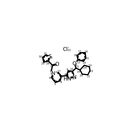 O=C(C[n+]1cccc(-c2cc(C(Oc3ccccc3)C3CCCCC3)n[nH]2)c1)c1cccs1.[Cl-]